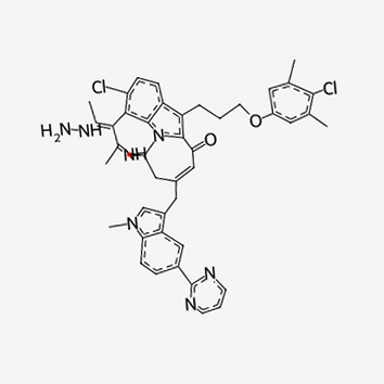 CC(=N)/C(=C(/C)NN)c1c(Cl)ccc2c(CCCOc3cc(C)c(Cl)c(C)c3)c3n(c12)[C@H](C)CC(Cc1cn(C)c2ccc(-c4ncccn4)cc12)=CC3=O